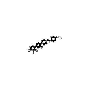 N[C@H]1CC[C@H](CCN2CCN(c3ccc(C4CCC(=O)NC4=O)cc3F)CC2)CC1